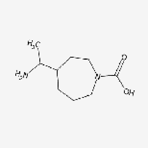 CC(N)C1CCCN(C(=O)O)CC1